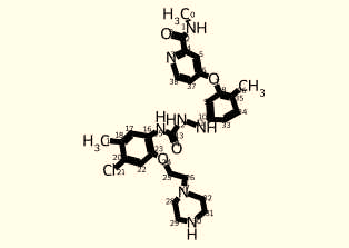 CNC(=O)c1cc(Oc2cc(NNC(=O)Nc3cc(C)c(Cl)cc3OCCN3CCNCC3)ccc2C)ccn1